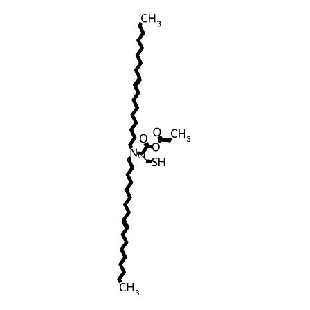 CCCCCCCCC=CCCCCCCCCN(CCCCCCCCC=CCCCCCCCC)[C@@H](CS)C(=O)OC(=O)CC